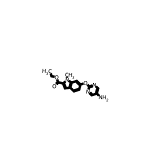 CCOC(=O)c1cc2ccc(Oc3ncc(N)cn3)cc2n1C